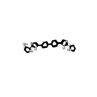 O[C@H]1CCN[C@@H]1c1ncc(-c2ccc(-c3ccc(-c4cnc([C@@H]5CCCN5)[nH]4)cc3)cc2)[nH]1